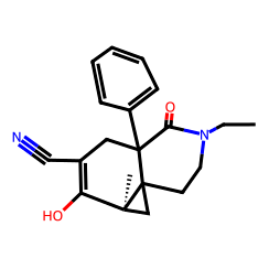 CCN1CCC23C[C@@]2(C)C(O)=C(C#N)CC3(c2ccccc2)C1=O